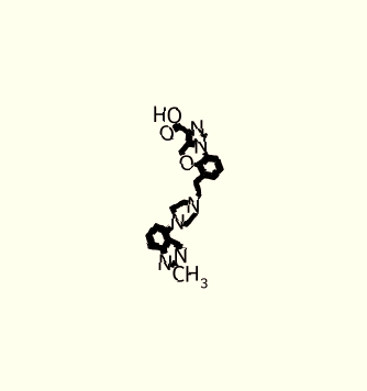 Cc1ncc2c(N3CCN(CCc4cccc5c4OCc4c(C(=O)O)ncn4-5)CC3)cccc2n1